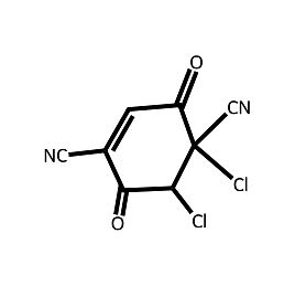 N#CC1=CC(=O)C(Cl)(C#N)C(Cl)C1=O